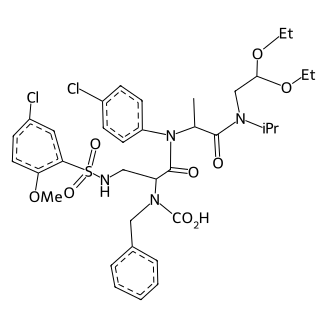 CCOC(CN(C(=O)C(C)N(C(=O)C(CNS(=O)(=O)c1cc(Cl)ccc1OC)N(Cc1ccccc1)C(=O)O)c1ccc(Cl)cc1)C(C)C)OCC